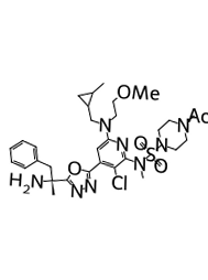 COCCN(CC1CC1C)c1cc(-c2nnc([C@](C)(N)Cc3ccccc3)o2)c(Cl)c(N(C)S(=O)(=O)N2CCN(C(C)=O)CC2)n1